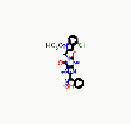 Cn1c(/C(=N/O)c2ccccc2)nc2c1c(=O)n(Cc1cc3c(Cl)cccc3n1C(=O)O)c(=O)n2C